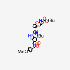 COc1ccc(CN2Cc3c(ccc(Nc4cc([C@@H]5CC[C@H](Oc6nn(C(=O)OC(C)(C)C)cc6C(C)C)C5)nn4C(C)(C)C)c3F)S2(=O)=O)cc1